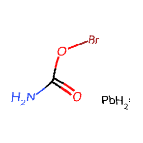 NC(=O)OBr.[PbH2]